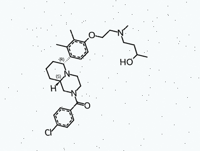 Cc1c(OCCN(C)CCC(C)O)ccc([C@H]2CCC[C@H]3CN(C(=O)c4ccc(Cl)cc4)CCN32)c1C